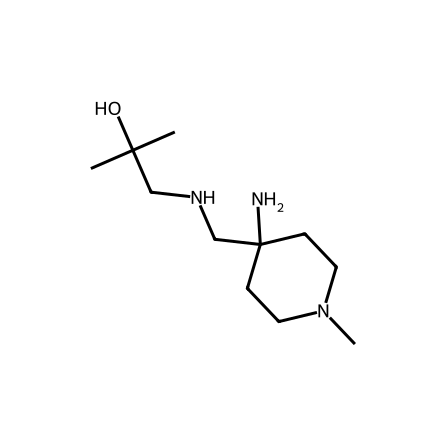 CN1CCC(N)(CNCC(C)(C)O)CC1